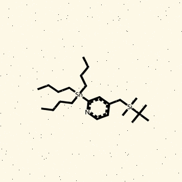 CCC[CH2][Sn]([CH2]CCC)([CH2]CCC)[c]1cc(C[Si](C)(C)C(C)(C)C)ccn1